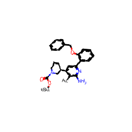 CC(=O)c1c(C2CCCN(C(=O)OC(C)(C)C)C2)cc(-c2ccccc2OCc2ccccc2)nc1N